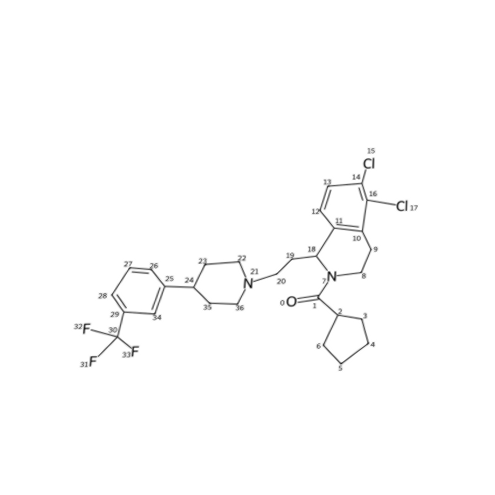 O=C(C1CCCC1)N1CCc2c(ccc(Cl)c2Cl)C1CCN1CCC(c2cccc(C(F)(F)F)c2)CC1